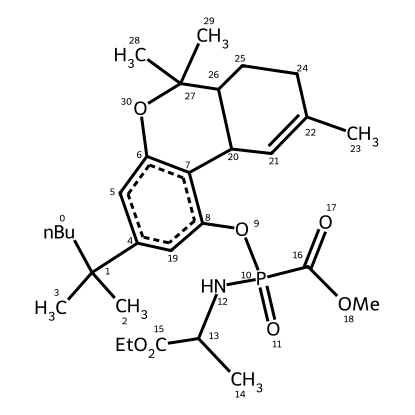 CCCCC(C)(C)c1cc2c(c(OP(=O)(NC(C)C(=O)OCC)C(=O)OC)c1)C1C=C(C)CCC1C(C)(C)O2